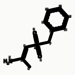 C/C(N)=C\S(=O)(=O)Cc1ccccc1